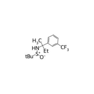 [CH2]CC(C)(N[S+]([O-])C(C)(C)C)c1cccc(C(F)(F)F)c1